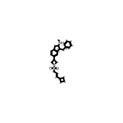 CNC1Cc2ccc(C3CN(S(=O)(=O)CC=CC4CCC4)C3)cc2C1Cc1ccccc1